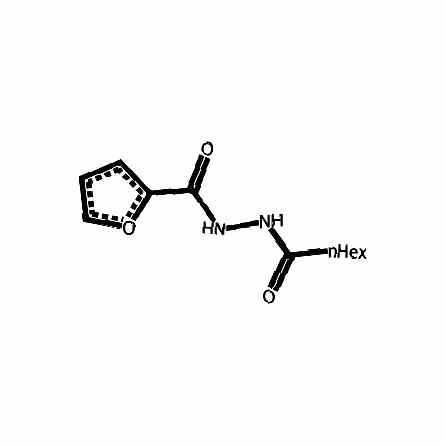 CCCCCCC(=O)NNC(=O)c1ccco1